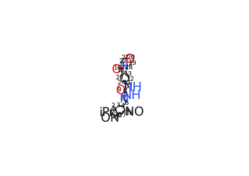 CC(C)C1(C)C=C(/C=N/NC(=O)Nc2ccc(C(=O)N3CCOCC3)cc2)C(N=O)=CC1N=O